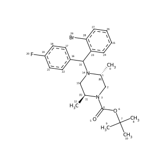 C[C@@H]1CN(C(=O)OC(C)(C)C)[C@@H](C)CN1C(c1ccc(F)cc1)c1ccccc1Br